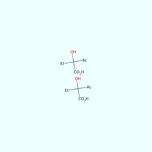 CCC(O)(C(C)=O)C(=O)O.CCC(O)(C(C)=O)C(=O)O